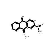 O=C1c2ccccc2C(=O)c2cc(S(=O)O)ccc21.[NaH]